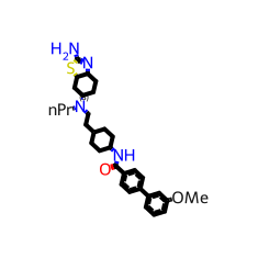 CCCN(CCC1CCC(NC(=O)c2ccc(-c3cccc(OC)c3)cc2)CC1)[C@H]1CCC2N=C(N)SC2C1